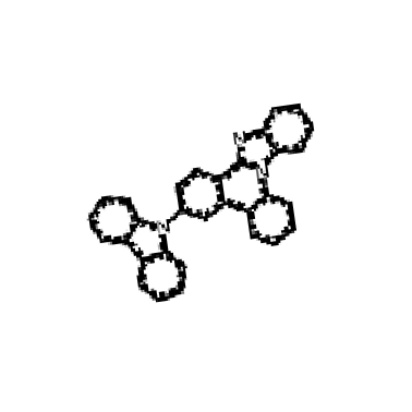 c1ccc2c(c1)nc1c3ccc(-n4c5ccccc5c5ccccc54)cc3c3ccccc3n21